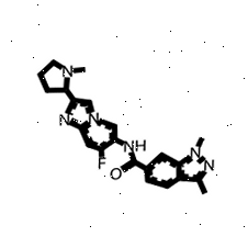 Cc1nn(C)c2cc(C(=O)Nc3cn4cc(C5CCCN5C)nc4cc3F)ccc12